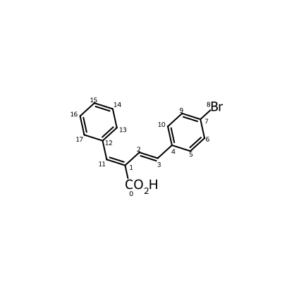 O=C(O)C(/C=C/c1ccc(Br)cc1)=C/c1ccccc1